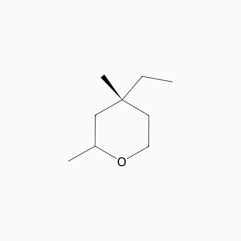 CC[C@]1(C)CCOC(C)C1